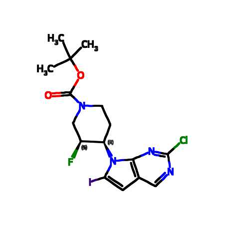 CC(C)(C)OC(=O)N1CC[C@@H](n2c(I)cc3cnc(Cl)nc32)[C@@H](F)C1